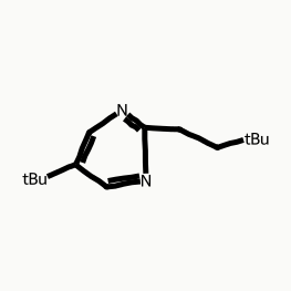 CC(C)(C)CCc1ncc(C(C)(C)C)cn1